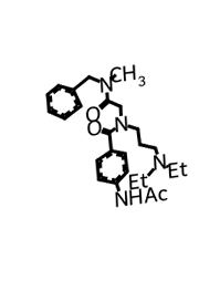 CCN(CC)CCCN(CC(=O)N(C)Cc1ccccc1)C(=O)c1ccc(NC(C)=O)cc1